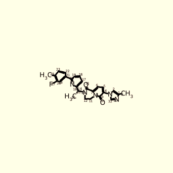 Cc1cn(-c2ccc3n(c2=O)CCN([C@@H](C)c2cccc(-c4ccc(C)c(F)c4)n2)C3=O)cn1